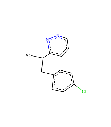 CC(=O)C(Cc1ccc(Cl)cc1)c1cccnn1